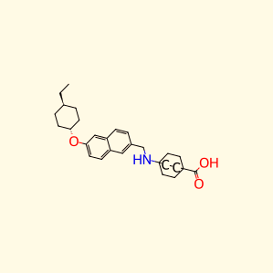 CC[C@H]1CC[C@H](Oc2ccc3cc(CNC45CCC(C(=O)O)(CC4)CC5)ccc3c2)CC1